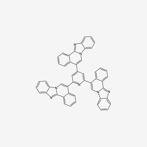 c1ccc2c(c1)nc1c3ccccc3c(-c3cc(-c4cn5c6ccccc6nc5c5ccccc45)nc(-c4cn5c6ccccc6nc5c5ccccc45)c3)cn21